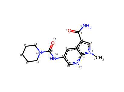 Cn1cc(C(N)=O)c2cc(NC(=O)N3CCCCC3)cnc21